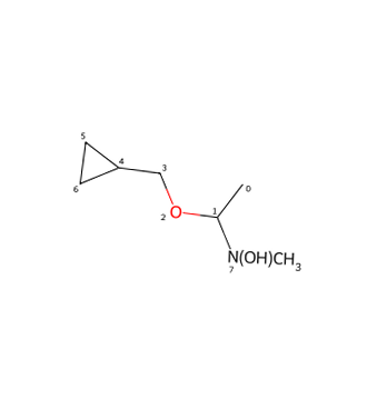 CC(OCC1CC1)N(C)O